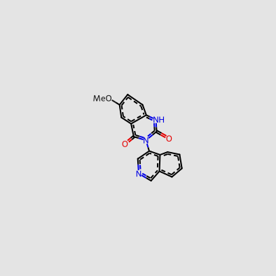 COc1ccc2[nH]c(=O)n(-c3cncc4ccccc34)c(=O)c2c1